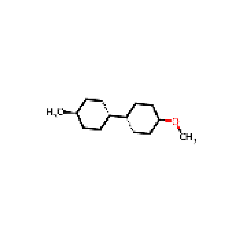 CO[C@H]1CC[C@H]([C@H]2CC[C@H](C)CC2)CC1